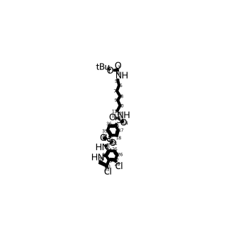 CC(C)(C)OC(=O)NCCCCCCCNS(=O)(=O)c1ccc(S(=O)(=O)Nc2ccc(Cl)c3c(Cl)c[nH]c23)cc1